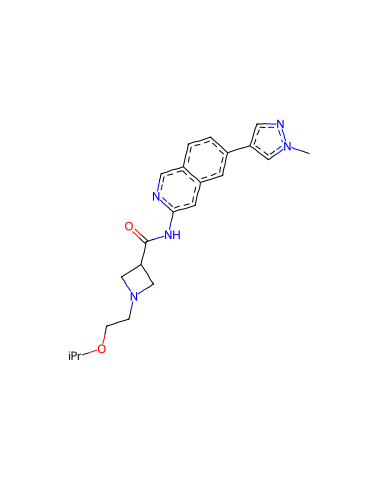 CC(C)OCCN1CC(C(=O)Nc2cc3cc(-c4cnn(C)c4)ccc3cn2)C1